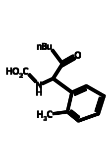 CCCCC(=O)C(NC(=O)O)c1ccccc1C